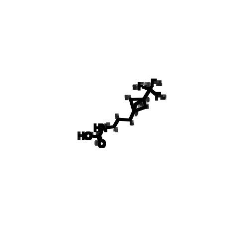 O=C(O)NCCCC12CC(C(F)(F)F)(C1)C2